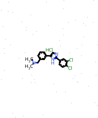 CN(C)Cc1cccc(-c2cnc(-c3ccc(Cl)c(Cl)c3)[nH]2)c1.Cl